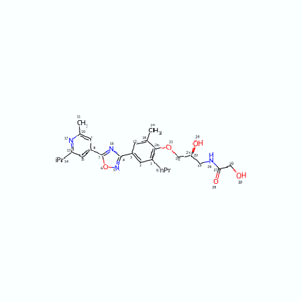 CCCc1cc(-c2noc(-c3cc(C)nc(C(C)C)c3)n2)cc(C)c1OC[C@@H](O)CNC(=O)CO